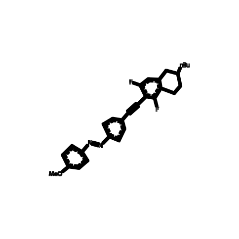 CCCCC1CCc2c(cc(F)c(C#Cc3ccc(N=Nc4ccc(OC)cc4)cc3)c2F)C1